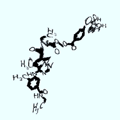 CCNC(=O)c1ccc(C)c(Nc2ncnn3cc(C(=O)N(CC)C(=O)OCOC(=O)c4ccc(O[PH](O)(O)O)cc4)c(C)c23)c1